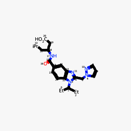 CCC(CC)n1c(Cn2cccn2)nc2cc(C(=O)NC(CC(=O)O)CC(C)C)ccc21